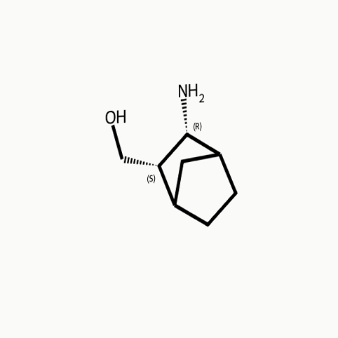 N[C@@H]1C2CCC(C2)[C@@H]1CO